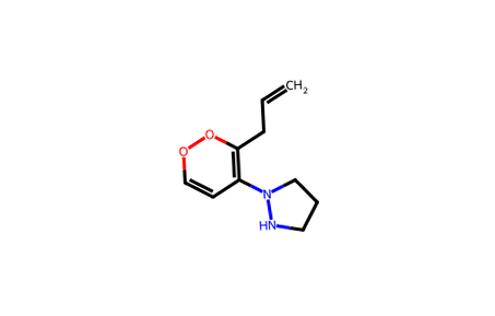 C=CCC1=C(N2CCCN2)C=COO1